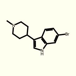 CN1CCC(c2c[nH]c3cc(Br)ccc23)CC1